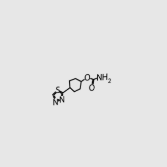 NC(=O)OC1CCC(c2nncs2)CC1